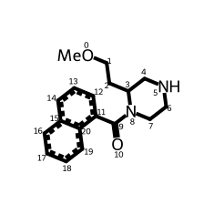 COCCC1CNCCN1C(=O)c1cccc2ccccc12